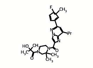 Cc1cc(-c2cc(C(C)C)c3nc(C(=O)N4CCN(C(=O)C(C)(C)O)CC4(C)C)cn3n2)ccc1F